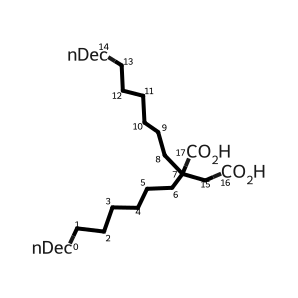 CCCCCCCCCCCCCCCCC(CCCCCCCCCCCCCCCC)(CC(=O)O)C(=O)O